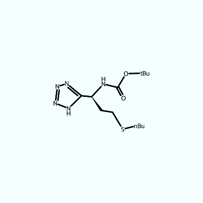 CCCCSCC[C@H](NC(=O)OC(C)(C)C)c1nnn[nH]1